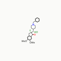 COc1cc2c(cc1OC)C(=O)C(F)(CC1CCN(Cc3ccccc3)CC1)C2.Cl